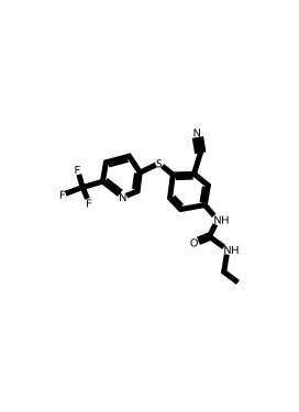 CCNC(=O)Nc1ccc(Sc2ccc(C(F)(F)F)nc2)c(C#N)c1